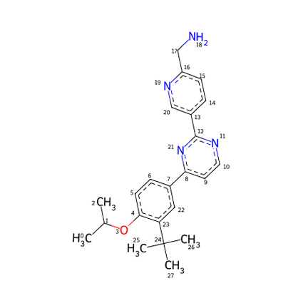 CC(C)Oc1ccc(-c2ccnc(-c3ccc(CN)nc3)n2)cc1C(C)(C)C